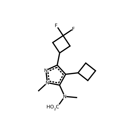 CN(C(=O)O)c1c(C2CCC2)c(C2CC(F)(F)C2)nn1C